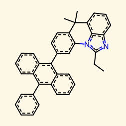 CCc1nc2cccc3c2n1-c1cc(-c2c4ccccc4c(-c4ccccc4)c4ccccc24)ccc1C3(C)C